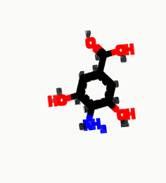 Nc1c(O)cc(C(=O)O)cc1O